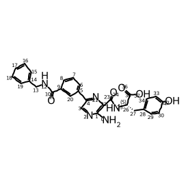 Nc1ncc(-c2cccc(C(=O)NCc3ccccc3)c2)nc1C(=O)N[C@@H](Cc1ccc(O)cc1)C(=O)O